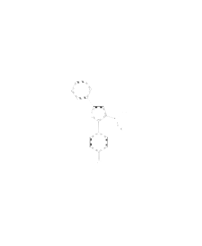 OB(O)c1cc(-c2ccccc2)sc1-c1ccc(Cl)cc1